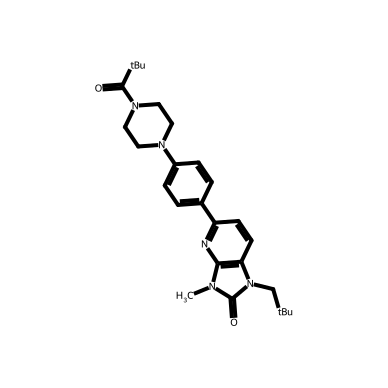 Cn1c(=O)n(CC(C)(C)C)c2ccc(-c3ccc(N4CCN(C(=O)C(C)(C)C)CC4)cc3)nc21